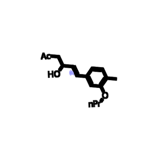 CCCOc1cc(/C=C/C(O)CC(C)=O)ccc1C